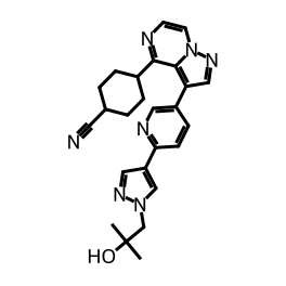 CC(C)(O)Cn1cc(-c2ccc(-c3cnn4ccnc(C5CCC(C#N)CC5)c34)cn2)cn1